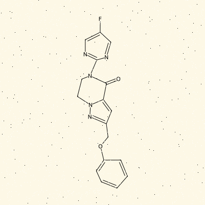 O=C1c2cc(COc3ccccc3)nn2CCN1c1ncc(F)cn1